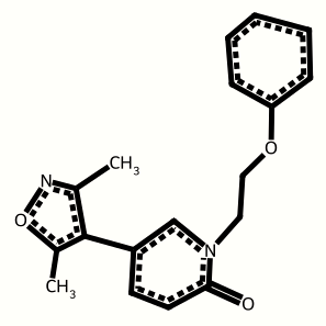 Cc1noc(C)c1-c1ccc(=O)n(CCOc2ccccc2)c1